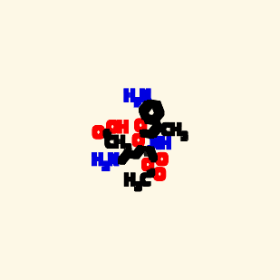 CC(=O)O.CC(=O)OC(=O)[C@H](CCCCN)Nc1c(C)c2ccc(N)cc2oc1=O